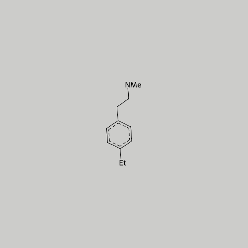 CCc1ccc(CCNC)cc1